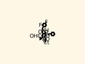 CCN1C[C@@]2(C[C@@H]2C=O)n2cc(C(=O)NCc3ccc(F)cc3F)c(=O)c(OCc3ccccc3)c2C1=O